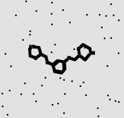 c1cc(OCC2CNCCO2)cc(OCC2CNCCO2)c1